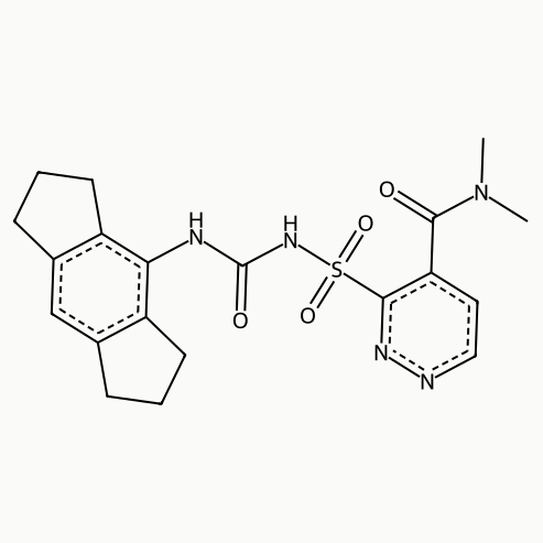 CN(C)C(=O)c1ccnnc1S(=O)(=O)NC(=O)Nc1c2c(cc3c1CCC3)CCC2